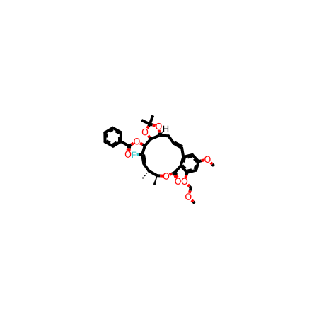 COCOc1cc(OC)cc2c1C(=O)O[C@@H](C)[C@H](C)/C=C(/F)C(OC(=O)c1ccccc1)C1OC(C)(C)O[C@H]1C/C=C/2